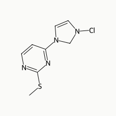 CSc1nccc(N2C=CN(Cl)C2)n1